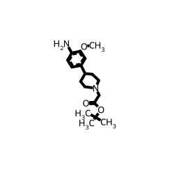 COc1cc(C2CCN(CC(=O)OC(C)(C)C)CC2)ccc1N